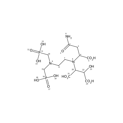 NC(=O)CC(C(=O)O)N(CCN(CP(=O)(O)O)CP(=O)(O)O)C(C(=O)O)C(O)C(=O)O